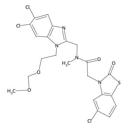 COCOCCn1c(CN(C)C(=O)Cn2c(=O)sc3ccc(Cl)cc32)nc2cc(Cl)c(Cl)cc21